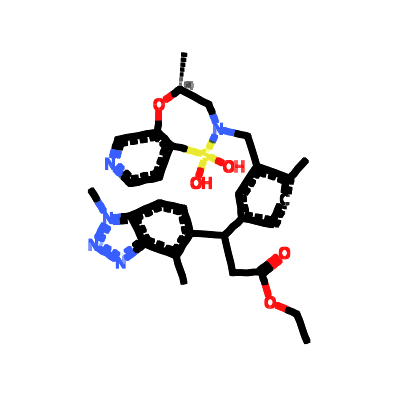 CCOC(=O)CC(c1ccc(C)c(CN2C[C@@H](C)Oc3cnccc3S2(O)O)c1)c1ccc2c(nnn2C)c1C